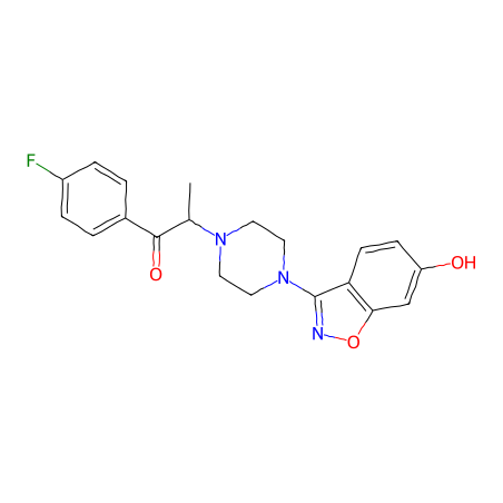 CC(C(=O)c1ccc(F)cc1)N1CCN(c2noc3cc(O)ccc23)CC1